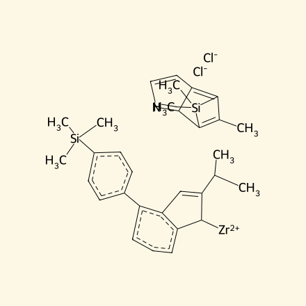 CC(C)C1=Cc2c(-c3ccc([Si](C)(C)C)cc3)cccc2[CH]1[Zr+2].CC1=C2C3=NC=CC3=C1[Si]2(C)C.[Cl-].[Cl-]